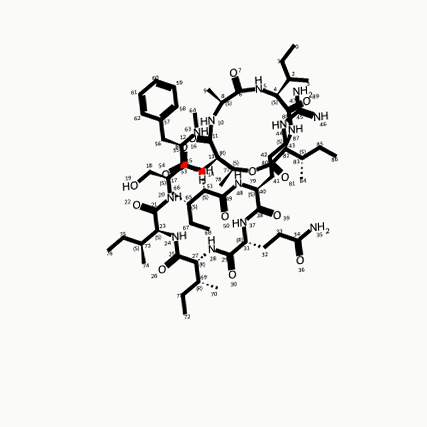 CCC(C)[C@@H]1NC(=O)[C@H](C)NC(=O)[C@H](NC(=O)[C@H](CO)NC(=O)[C@@H](NC(=O)[C@H](NC(=O)[C@@H](CCC(N)=O)NC(=O)[C@H](CCCNC(=N)N)NC(=O)[C@@H](NC(=O)[C@@H](Cc2ccccc2)NC)[C@@H](C)CC)[C@H](C)CC)[C@@H](C)CC)[C@H](C)OC(=O)[C@H]([C@@H](C)CC)NC1=O